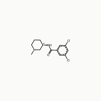 CN1CCC[C@@H](NC(=O)c2cc(Cl)cc(Cl)c2)C1